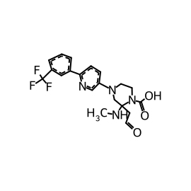 CNC1(CC=O)CN(c2ccc(-c3cccc(C(F)(F)F)c3)nc2)CCN1C(=O)O